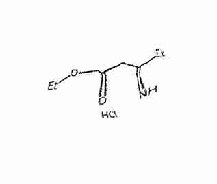 CCOC(=O)CC(=N)CC.Cl